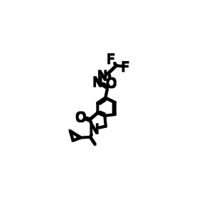 CC(C1CC1)N1Cc2ccc(-c3nnc(C(F)F)o3)cc2C1=O